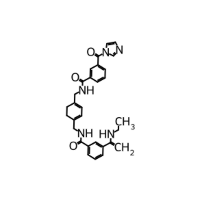 C=C(NCC)c1cccc(C(=O)NCC2=CC=C(CNC(=O)c3cccc(C(=O)n4ccnc4)c3)CC2)c1